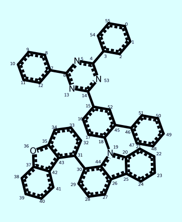 c1ccc(-c2nc(-c3ccccc3)nc(-c3ccc(-n4c5ccccc5c5cccc(-c6cccc7oc8ccccc8c67)c54)c(-c4ccccc4)c3)n2)cc1